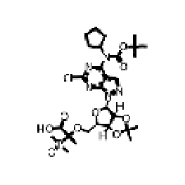 CC(C)(C)OC(=O)N(c1nc(Cl)nc2c1cnn2[C@@H]1O[C@H](COC(C)(C(=O)O)P(C)(C)=O)[C@H]2OC(C)(C)O[C@H]21)C1CCCC1